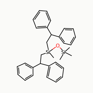 C[Si](C)(C)O[Si](C)(CC(c1ccccc1)c1ccccc1)CC(c1ccccc1)c1ccccc1